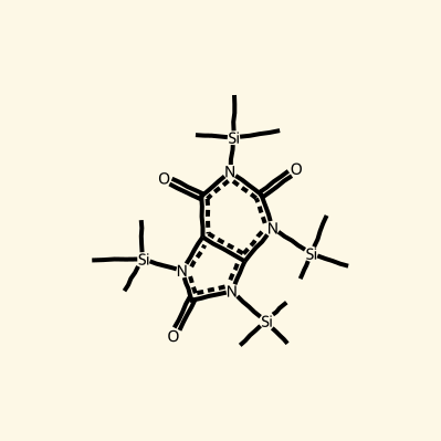 C[Si](C)(C)n1c(=O)c2c(n([Si](C)(C)C)c1=O)n([Si](C)(C)C)c(=O)n2[Si](C)(C)C